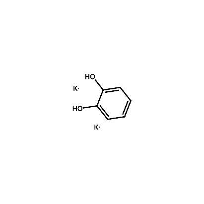 Oc1ccccc1O.[K].[K]